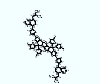 Cc1ccc(C2(c3ccc(C)s3)c3cc(-c4ccc(-c5ccc(C=C(C#N)C#N)c6nsnc56)s4)sc3-c3sc4c5c(sc4c32)-c2sc(-c3ccc(-c4ccc(C=C(C#N)C#N)c6nsnc46)s3)cc2C5(c2ccc(C)s2)c2ccc(C)s2)s1